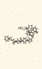 O=C(O)N[C@H]1CCC[C@@H]1C(CN1CCC1)(c1cccc(F)c1)C1CCN(CC2CCN(c3ccc(C(F)(F)C4CN(C(=O)/C=C/CN5CCCCC5)C4)cc3)C2)CC1